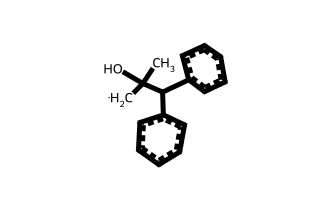 [CH2]C(C)(O)C(c1ccccc1)c1ccccc1